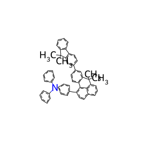 CC1(C)c2ccccc2-c2ccc(-c3ccc4c(c3)C(C)(C)c3cccc5ccc(-c6ccc(N(c7ccccc7)c7ccccc7)cc6)c-4c35)cc21